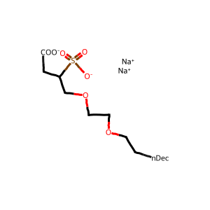 CCCCCCCCCCCCOCCOCC(CC(=O)[O-])S(=O)(=O)[O-].[Na+].[Na+]